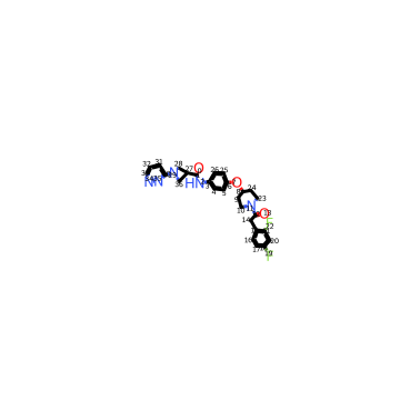 O=C(Nc1ccc(OC2CCN(C(=O)Cc3ccc(F)cc3F)CC2)cc1)C1CN(c2cccnn2)C1